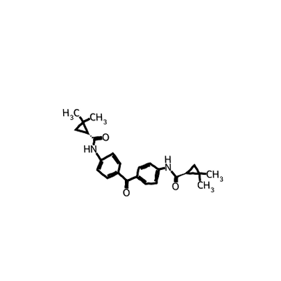 CC1(C)C[C@@H]1C(=O)Nc1ccc(C(=O)c2ccc(NC(=O)[C@@H]3CC3(C)C)cc2)cc1